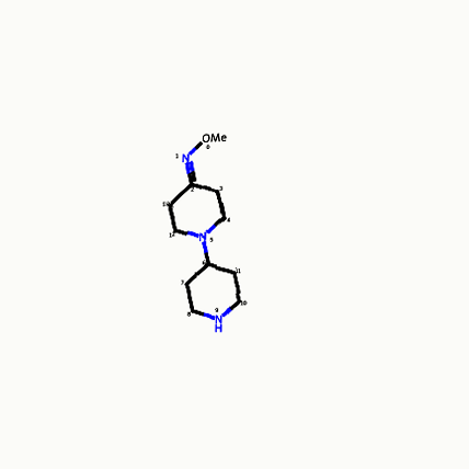 CON=C1CCN(C2CCNCC2)CC1